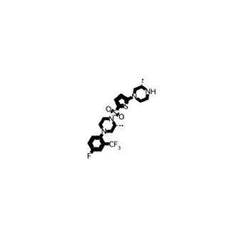 C[C@@H]1CN(c2ccc(F)cc2C(F)(F)F)CCN1S(=O)(=O)c1ccc(N2CCN[C@@H](C)C2)s1